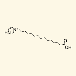 O=C(O)CCCCCCCCCCCCCC[n+]1cc[nH]c1